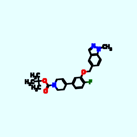 Cn1ncc2cc(COc3cc(C4=CCN(C(=O)OC(C)(C)C)CC4)ccc3F)ccc21